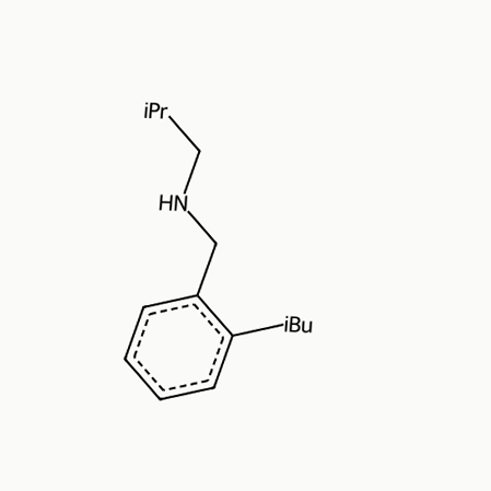 CCC(C)c1ccccc1CNCC(C)C